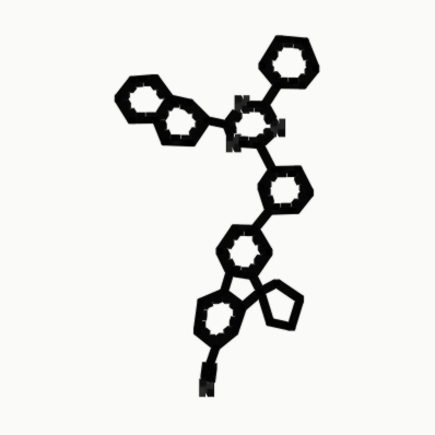 N#Cc1ccc2c(c1)C1(CCCC1)c1cc(-c3cccc(-c4nc(-c5ccccc5)nc(-c5ccc6ccccc6c5)n4)c3)ccc1-2